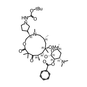 CO[C@]1(C)C[C@@H](C)CN(C)[C@H](C2CCN(NC(=O)OC(C)(C)C)C2)COC(=O)C(C)(C)C(=O)[C@H](C)[C@H]1O[C@@H]1O[C@H](C)C[C@H](N(C)C)[C@H]1OC(=O)c1ccccc1